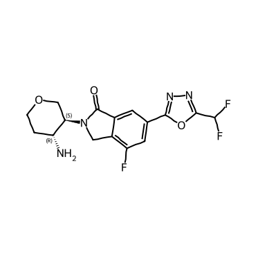 N[C@@H]1CCOC[C@H]1N1Cc2c(F)cc(-c3nnc(C(F)F)o3)cc2C1=O